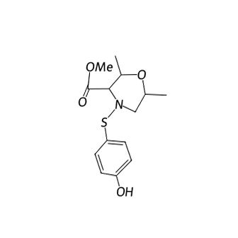 COC(=O)C1C(C)OC(C)CN1Sc1ccc(O)cc1